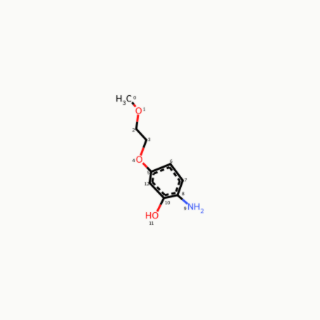 COCCOc1ccc(N)c(O)c1